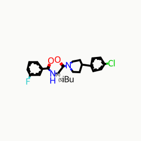 CC[C@H](C)[C@@H](NC(=O)c1cccc(F)c1)C(=O)N1CCC(c2ccc(Cl)cc2)CC1